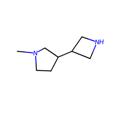 CN1CCC(C2CNC2)C1